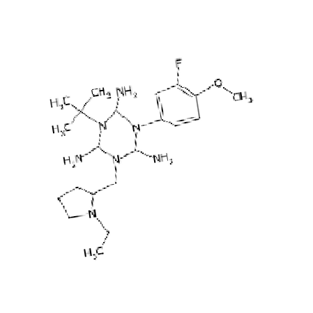 CCN1CCCC1CN1C(N)N(c2ccc(OC)c(F)c2)C(N)N(C(C)(C)C)C1N